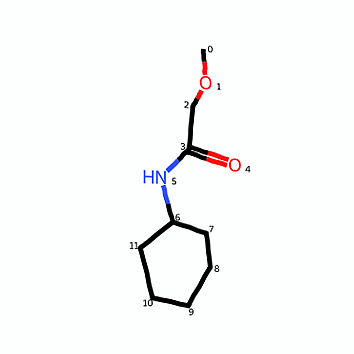 COCC(=O)NC1CCCCC1